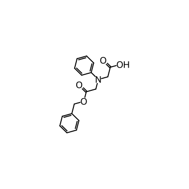 O=C(O)CN(CC(=O)OCc1ccccc1)c1ccccc1